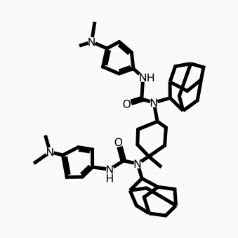 CN(C)c1ccc(NC(=O)N(C2CCC(C)(N(C(=O)Nc3ccc(N(C)C)cc3)C3C4CC5CC(C4)CC3C5)CC2)C2C3CC4CC(C3)CC2C4)cc1